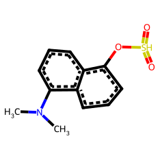 CN(C)c1cccc2c(O[SH](=O)=O)cccc12